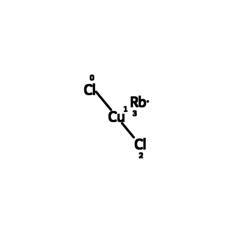 [Cl][Cu][Cl].[Rb]